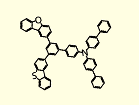 c1ccc(-c2ccc(N(c3ccc(-c4ccccc4)cc3)c3ccc(-c4cc(-c5ccc6oc7ccccc7c6c5)cc(-c5ccc6sc7ccccc7c6c5)c4)cc3)cc2)cc1